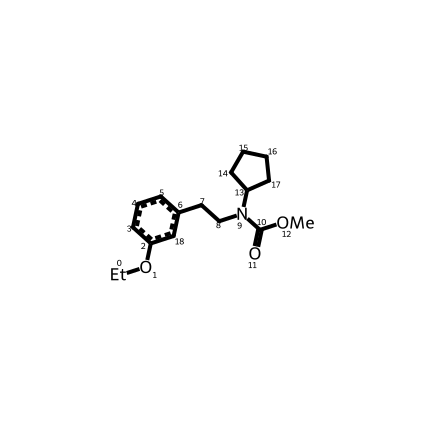 CCOc1cccc(CCN(C(=O)OC)C2CCCC2)c1